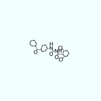 O=C(NC(=O)c1c(Cl)cccc1Cl)Nc1ccc(C(=O)c2ccccc2)cc1